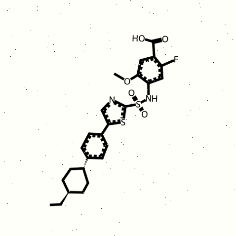 CC[C@H]1CC[C@H](c2ccc(-c3cnc(S(=O)(=O)Nc4cc(F)c(C(=O)O)cc4OC)s3)cc2)CC1